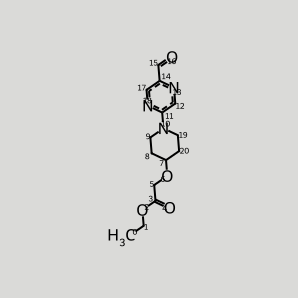 CCOC(=O)COC1CCN(c2cnc(C=O)cn2)CC1